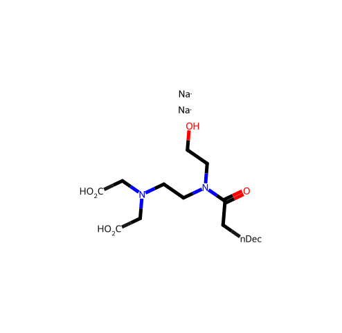 CCCCCCCCCCCC(=O)N(CCO)CCN(CC(=O)O)CC(=O)O.[Na].[Na]